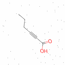 CCCC#CC(=O)O